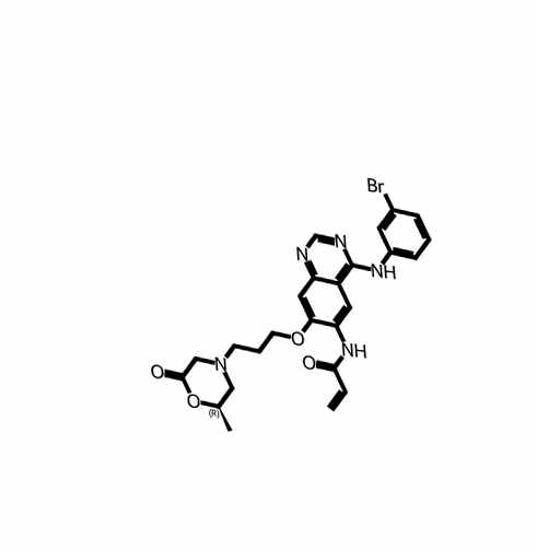 C=CC(=O)Nc1cc2c(Nc3cccc(Br)c3)ncnc2cc1OCCCN1CC(=O)O[C@H](C)C1